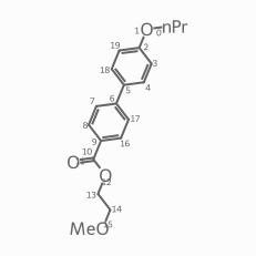 CCCOc1ccc(-c2ccc(C(=O)OCCOC)cc2)cc1